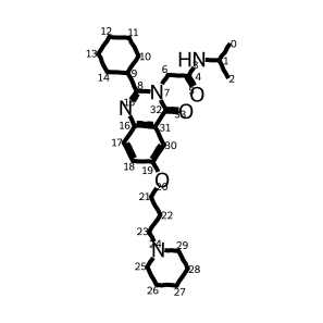 CC(C)NC(=O)Cn1c(C2CCCCC2)nc2ccc(OCCCN3CCCCC3)cc2c1=O